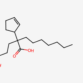 CCCCCCCC(CCCO)(C(=O)O)C1C=CCC1